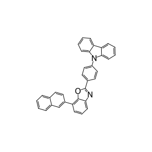 c1ccc2cc(-c3cccc4nc(-c5ccc(-n6c7ccccc7c7ccccc76)cc5)oc34)ccc2c1